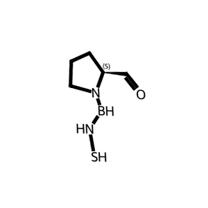 O=C[C@@H]1CCCN1BNS